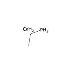 CCP.[CaH2]